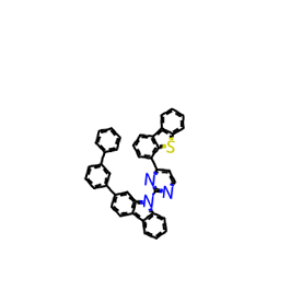 c1ccc(-c2cccc(-c3ccc4c5ccccc5n(-c5nccc(-c6cccc7c6sc6ccccc67)n5)c4c3)c2)cc1